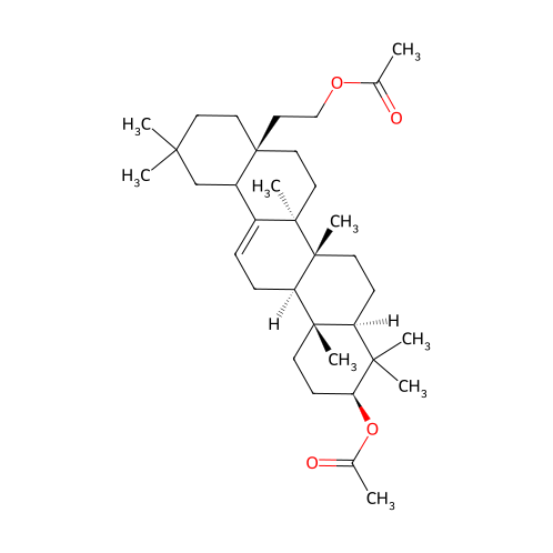 CC(=O)OCC[C@]12CCC(C)(C)CC1C1=CC[C@@H]3[C@@]4(C)CC[C@H](OC(C)=O)C(C)(C)[C@@H]4CC[C@@]3(C)[C@]1(C)CC2